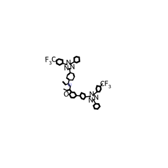 C=C/C(=C\c1c(C)oc2ccc(-c3ccc(-c4nc(-c5ccccc5)nc(-c5ccc(C(F)(F)F)cc5)n4)cc3)cc12)C1=CC=C(c2nc(-c3ccccc3)nc(-c3ccc(C(F)(F)F)cc3)n2)C=CC1